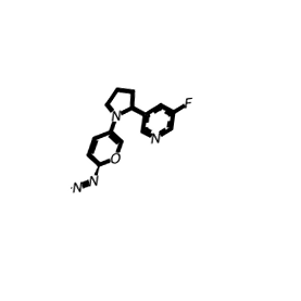 [N]=N[C@H]1C=CC(N2CCCC2c2cncc(F)c2)=CO1